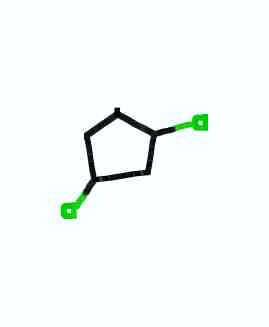 ClC1[CH]CC(Cl)C1